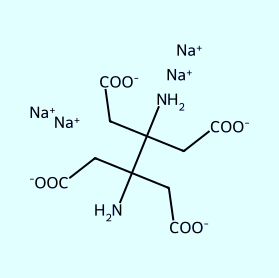 NC(CC(=O)[O-])(CC(=O)[O-])C(N)(CC(=O)[O-])CC(=O)[O-].[Na+].[Na+].[Na+].[Na+]